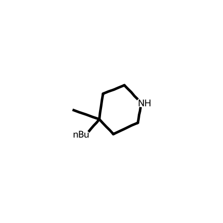 CCCCC1(C)CCNCC1